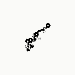 CC(C)(C)OC(=O)N(OC(C)(C)C)c1nccc2cc(NC(C(=O)O)c3ccc(CCCC(=O)OCc4ccccc4)cc3)ccc12